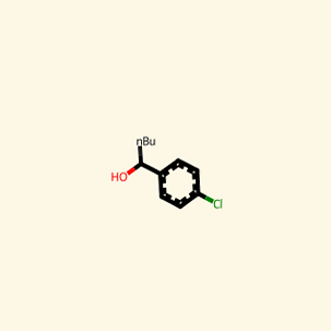 CCCCC(O)c1ccc(Cl)cc1